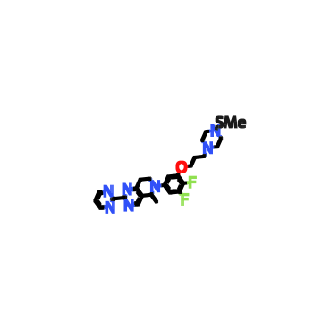 CSN1CCN(CCCOc2cc(N3CCc4nc(-c5ncccn5)ncc4C3C)cc(F)c2F)CC1